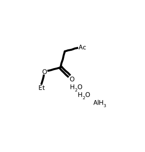 CCOC(=O)CC(C)=O.O.O.[AlH3]